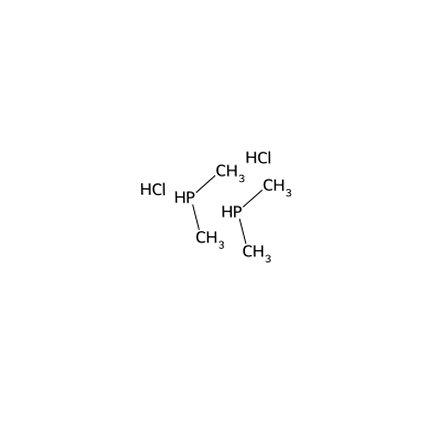 CPC.CPC.Cl.Cl